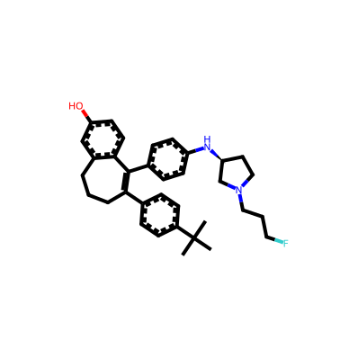 CC(C)(C)c1ccc(C2=C(c3ccc(N[C@H]4CCN(CCCF)C4)cc3)c3ccc(O)cc3CCC2)cc1